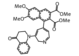 COC(=O)c1cc2cc(OC)c(OC)cc2c(C2=CC=NCC(N3CCC(=O)c4ccccc43)=C2)c1C(=O)OC